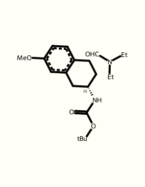 CCN(C=O)CC.COc1ccc2c(c1)C[C@@H](NC(=O)OC(C)(C)C)CC2